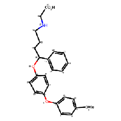 COc1ccc(Oc2ccc(OC(CCCNCC(=O)O)c3ccccc3)cc2)cc1